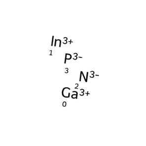 [Ga+3].[In+3].[N-3].[P-3]